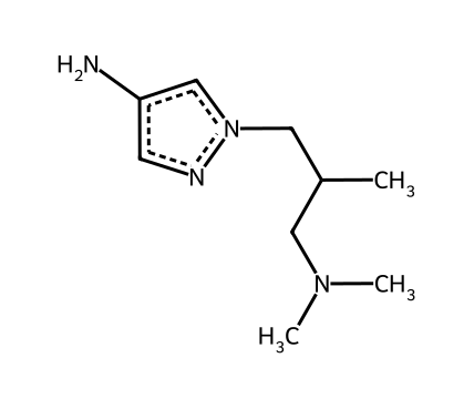 CC(CN(C)C)Cn1cc(N)cn1